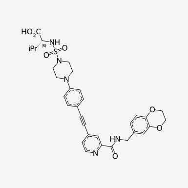 CC(C)[C@@H](NS(=O)(=O)N1CCN(c2ccc(C#Cc3ccnc(C(=O)NCc4ccc5c(c4)OCCO5)c3)cc2)CC1)C(=O)O